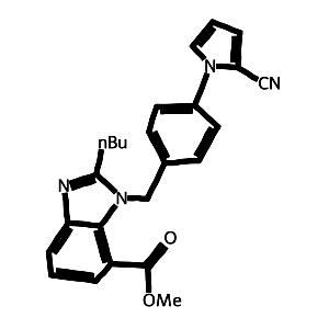 CCCCc1nc2cccc(C(=O)OC)c2n1Cc1ccc(-n2cccc2C#N)cc1